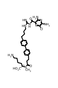 CN(C(=O)CCc1ccc(-c2ccc(CCCCNC(=N)NC(=O)c3nc(Cl)c(N)nc3N)cc2)cc1)[C@@H](CCCCN)C(=O)O